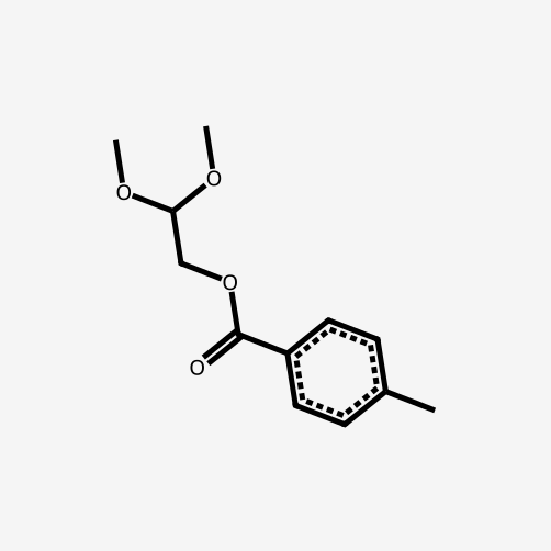 COC(COC(=O)c1ccc(C)cc1)OC